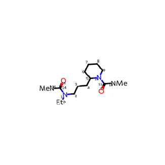 CCN(CCCC1CCCCN1C(=O)NC)C(=O)NC